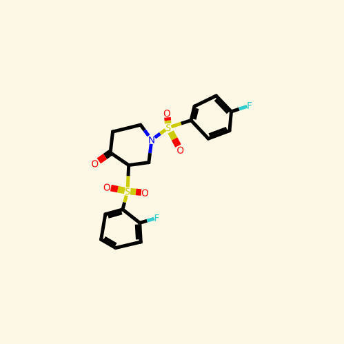 O=C1CCN(S(=O)(=O)c2ccc(F)cc2)CC1S(=O)(=O)c1ccccc1F